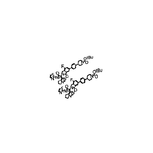 CC(C)(C)OC(=O)N1CCC(c2ccc(-c3cc(F)c4c(c3)C(=O)N(C(C(=O)Nc3nccs3)c3ncn5c3CCC5)C4)cc2)CC1.CC(C)(C)OC(=O)N1CCC(c2ccc(-c3cc(F)c4c(c3)C(=O)N(C(C(=O)Nc3nccs3)c3ncn5c3CCC5)C4)cc2)CC1